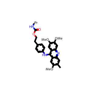 COc1cc2c(Nc3ccc(CCOC(=O)NC(C)C)cc3)c3cc(OC)c(OC)cc3nc2cc1C